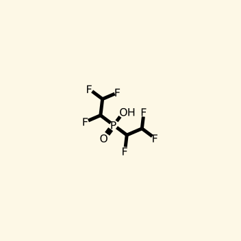 O=P(O)(C(F)C(F)F)C(F)C(F)F